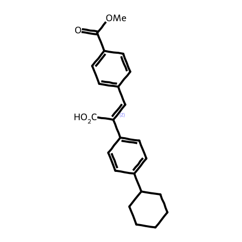 COC(=O)c1ccc(/C=C(\C(=O)O)c2ccc(C3CCCCC3)cc2)cc1